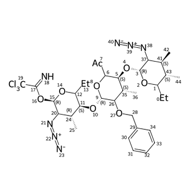 CCC1O[C@H](O[C@@H]2C(C(C)=O)O[C@@H](O[C@@H]3C(CC)O[C@H](OC(=N)C(Cl)(Cl)Cl)C(N=[N+]=[N-])[C@H]3C)C(OCc3ccccc3)[C@H]2C)C(N=[N+]=[N-])[C@@H](C)[C@@H]1C